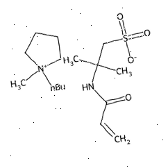 C=CC(=O)NC(C)(C)CS(=O)(=O)[O-].CCCC[N+]1(C)CCCC1